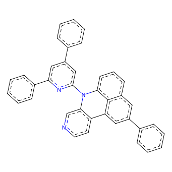 c1ccc(-c2cc(-c3ccccc3)nc(N3c4cnccc4-c4cc(-c5ccccc5)cc5cccc3c45)c2)cc1